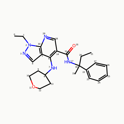 CCn1ncc2c(NC3CCOCC3)c(C(=O)NC(C)(CC)c3ccccc3)cnc21